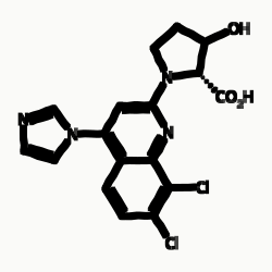 O=C(O)[C@H]1C(O)CCN1c1cc(-n2ccnc2)c2ccc(Cl)c(Cl)c2n1